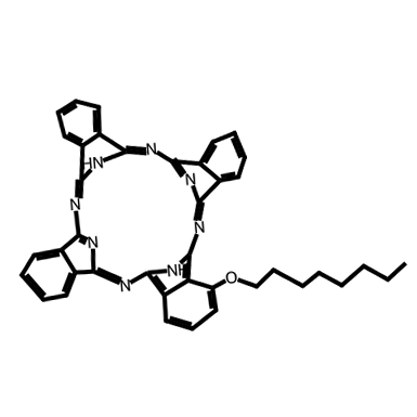 CCCCCCCCOc1cccc2c3nc4nc(nc5[nH]c(nc6nc(nc([nH]3)c12)-c1ccccc1-6)c1ccccc51)-c1ccccc1-4